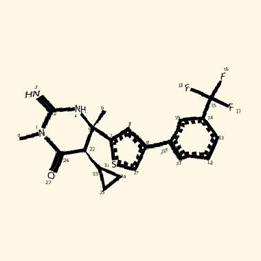 CN1C(=N)N[C@](C)(c2cc(-c3cccc(C(F)(F)F)c3)cs2)[C@@H](C2CC2)C1=O